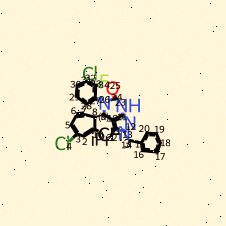 CC1=CC(Cl)=CC#CC1[C@@H]1c2c(nn(Cc3ccccc3)c2C(C)C)NC(=O)N1c1cccc(Cl)c1F